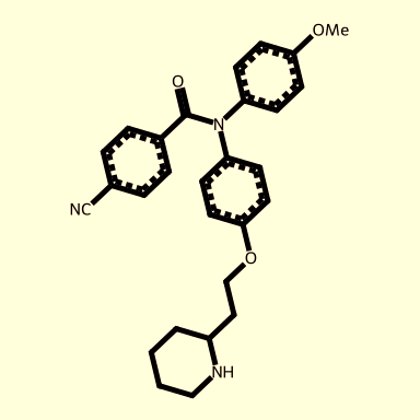 COc1ccc(N(C(=O)c2ccc(C#N)cc2)c2ccc(OCCC3CCCCN3)cc2)cc1